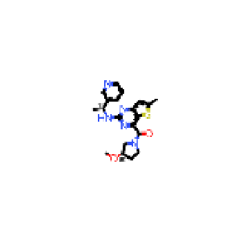 CO[C@@H]1CCN(C(=O)c2nc(N[C@@H](C)c3cccnc3)nc3cc(C)sc23)C1